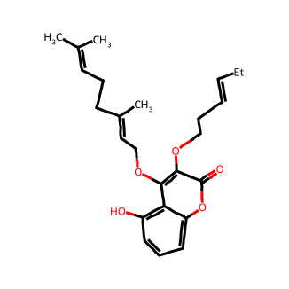 CCC=CCCOc1c(OC/C=C(\C)CCC=C(C)C)c2c(O)cccc2oc1=O